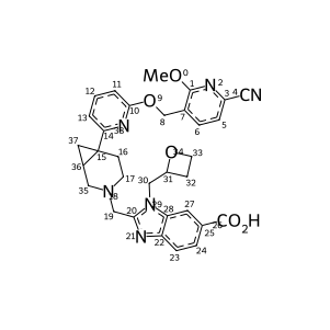 COc1nc(C#N)ccc1COc1cccc(C23CCN(Cc4nc5ccc(C(=O)O)cc5n4CC4CCO4)CC2C3)n1